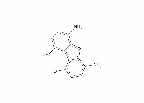 Nc1ccc(O)c2c1sc1c(N)ccc(O)c12